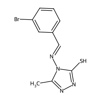 Cc1nnc(S)n1N=Cc1cccc(Br)c1